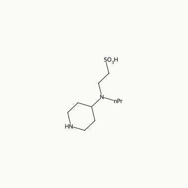 CCCN(CCS(=O)(=O)O)C1CCNCC1